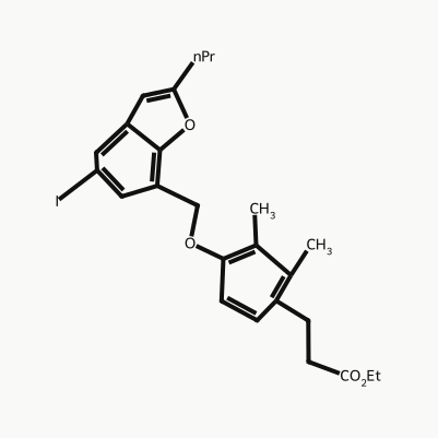 CCCc1cc2cc(I)cc(COc3ccc(CCC(=O)OCC)c(C)c3C)c2o1